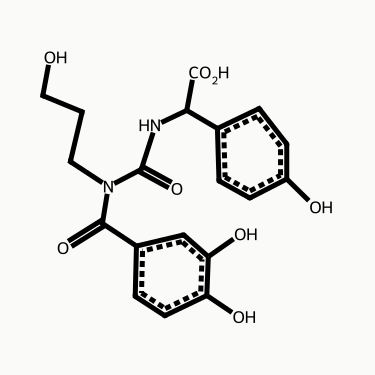 O=C(O)C(NC(=O)N(CCCO)C(=O)c1ccc(O)c(O)c1)c1ccc(O)cc1